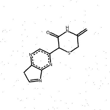 C=C1CSC(c2cnc3c(n2)N=CC3)C(=O)N1